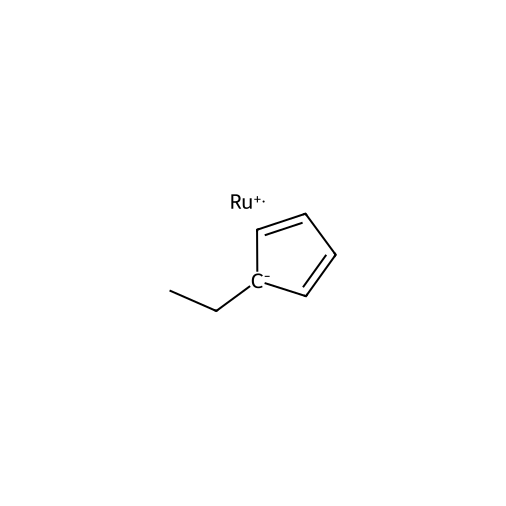 CC[c-]1cccc1.[Ru+]